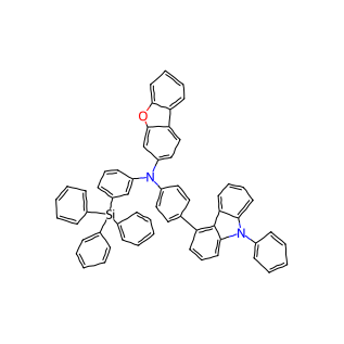 c1ccc(-n2c3ccccc3c3c(-c4ccc(N(c5cccc([Si](c6ccccc6)(c6ccccc6)c6ccccc6)c5)c5ccc6c(c5)oc5ccccc56)cc4)cccc32)cc1